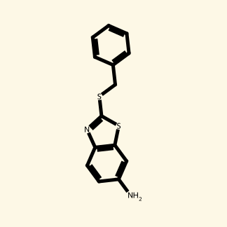 Nc1ccc2nc(SCc3ccccc3)sc2c1